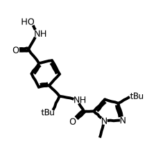 Cn1nc(C(C)(C)C)cc1C(=O)NC(c1ccc(C(=O)NO)cc1)C(C)(C)C